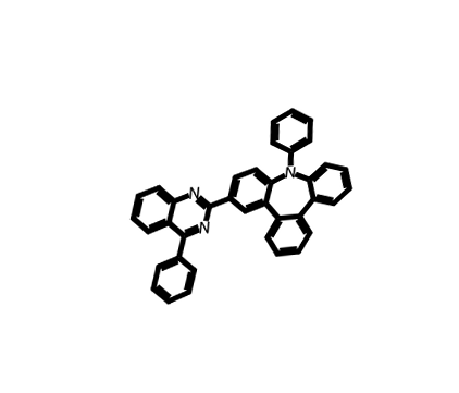 c1ccc(-c2nc(-c3ccc4c(c3)-c3ccccc3-c3ccccc3N4c3ccccc3)nc3ccccc23)cc1